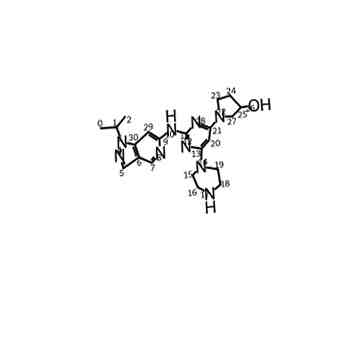 CC(C)n1ncc2cnc(Nc3nc(N4CCNCC4)cc(N4CCC(O)C4)n3)cc21